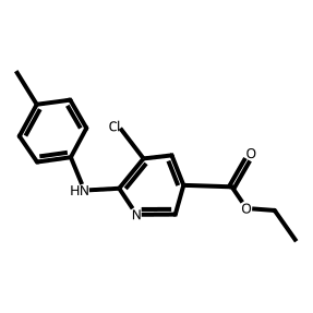 CCOC(=O)c1cnc(Nc2ccc(C)cc2)c(Cl)c1